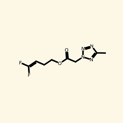 Cc1nnn(CC(=O)OCCC=C(F)F)n1